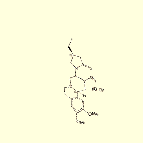 COc1cc2c(cc1OC)[C@@H]1CC(N)C(N3C[C@@H](CF)CC3=O)CN1CC2.Cl.Cl